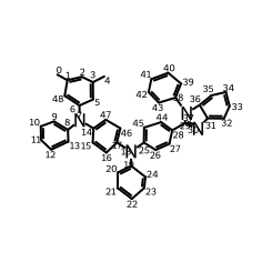 Cc1cc(C)cc(N(c2ccccc2)c2ccc(N(c3ccccc3)c3ccc(-c4nc5ccccc5n4-c4ccccc4)cc3)cc2)c1